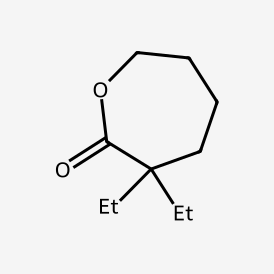 CCC1(CC)CCCCOC1=O